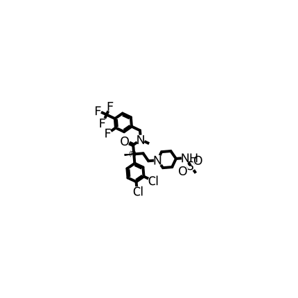 CN(Cc1ccc(C(F)(F)F)c(F)c1)C(=O)[C@](C)(CCN1CCC(NS(C)(=O)=O)CC1)c1ccc(Cl)c(Cl)c1